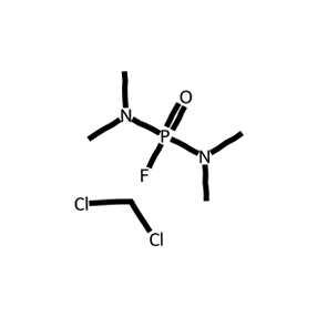 CN(C)P(=O)(F)N(C)C.ClCCl